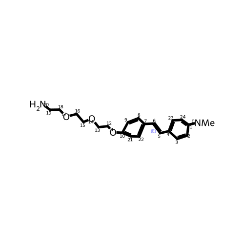 CNc1ccc(/C=C/c2ccc(OCCOCCOCCN)cc2)cc1